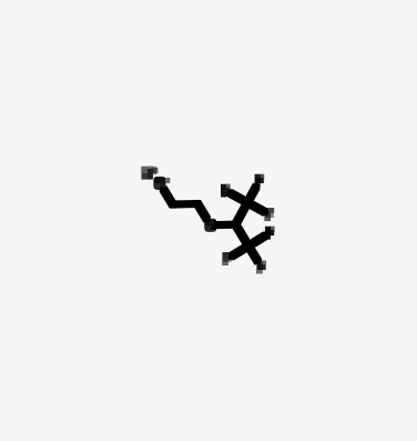 [Li+].[O-]CCOC(C(F)(F)F)C(F)(F)F